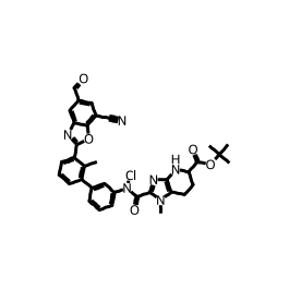 Cc1c(-c2cccc(N(Cl)C(=O)c3nc4c(n3C)CCC(C(=O)OC(C)(C)C)N4)c2)cccc1-c1nc2cc(C=O)cc(C#N)c2o1